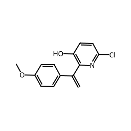 C=C(c1ccc(OC)cc1)c1nc(Cl)ccc1O